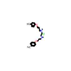 CN(CCCOc1ccc(C#N)cc1)CCN(C)CCCOc1ccc(C#N)cc1.Cl